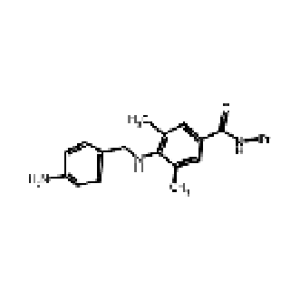 Cc1cc(C(=O)NC(C)C)cc(C)c1NCc1ccc(N)cc1